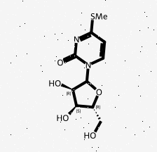 CSc1ccn(C2O[C@H](CO)[C@@H](O)[C@H]2O)c(=O)n1